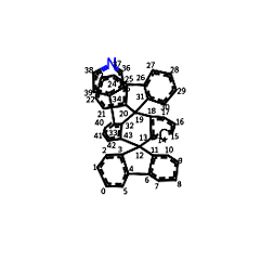 c1ccc2c(c1)-c1ccccc1C21c2ccccc2C2(c3ccccc3-c3ccccc32)c2c(-c3ccncc3)cccc21